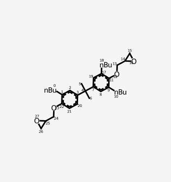 CCCCc1cc(C(C)(C)c2cc(CCCC)c(OCC3CO3)c(CCCC)c2)ccc1OCC1CO1